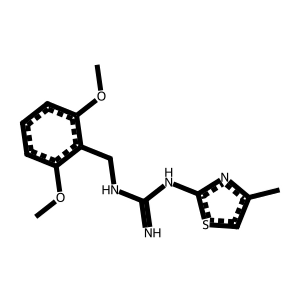 COc1cccc(OC)c1CNC(=N)Nc1nc(C)cs1